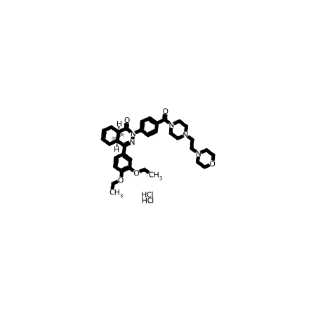 CCOc1ccc(C2=NN(c3ccc(C(=O)N4CCN(CCN5CCOCC5)CC4)cc3)C(=O)[C@@H]3CC=CC[C@H]23)cc1OCC.Cl.Cl